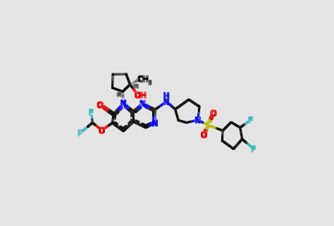 C[C@@]1(O)CCC[C@H]1n1c(=O)c(OC(F)F)cc2cnc(NC3CCN(S(=O)(=O)C4CCC(F)C(F)C4)CC3)nc21